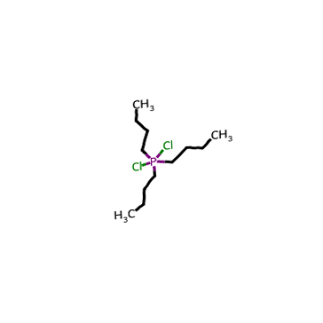 CCCCP(Cl)(Cl)(CCCC)CCCC